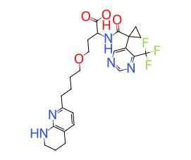 O=C(O)C(CCOCCCCc1ccc2c(n1)NCCC2)NC(=O)C1(c2cncnc2C(F)(F)F)CC1